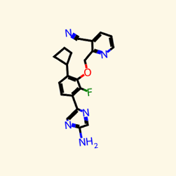 N#Cc1cccnc1COc1c(C2CCC2)ccc(-c2cnc(N)cn2)c1F